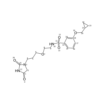 O=C1CN(CCCOCCNS(=O)(=O)c2cccc(OCC3CC3)c2)C(=O)N1